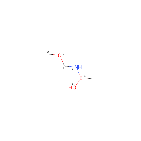 COCNB(C)O